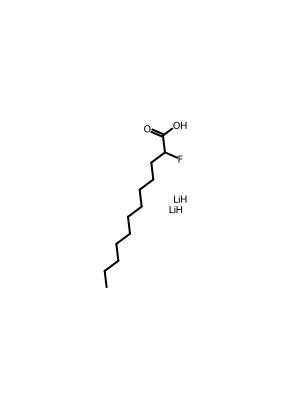 CCCCCCCCCCC(F)C(=O)O.[LiH].[LiH]